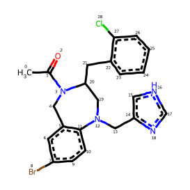 CC(=O)N1Cc2cc(Br)ccc2N(Cc2c[nH]cn2)CC1Cc1ccccc1Cl